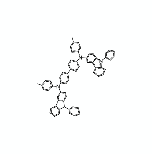 Cc1ccc(N(c2ccc(-c3ccc(N(c4ccc(C)cc4)c4ccc5c(c4)c4ccccc4n5-c4ccccc4)cc3)cc2)c2ccc3c(c2)-c2ccccc2C3c2ccccc2)cc1